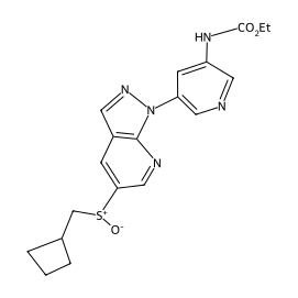 CCOC(=O)Nc1cncc(-n2ncc3cc([S+]([O-])CC4CCC4)cnc32)c1